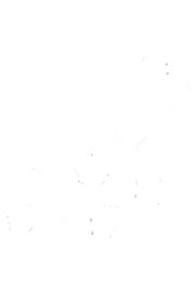 c1ccc(C2=NC(c3c(-c4ccc5ccccc5c4)ccc4oc5ccccc5c34)=NC(c3ccc(-c4cccc5ccccc45)cc3)N2)cc1